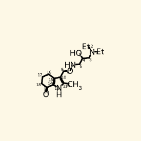 CCN(CC)CC(O)CNOCc1c(C)[nH]c2c1CCCC2=O